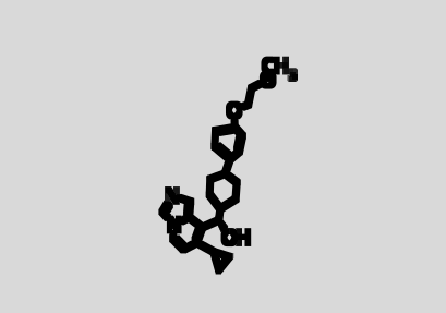 COCCOc1ccc(C2CCC([C@@H](O)c3c(C4CC4)ccn4cncc34)CC2)cc1